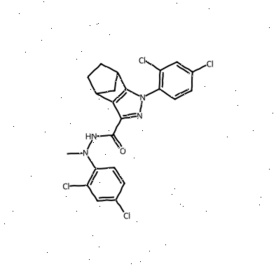 CN(NC(=O)c1nn(-c2ccc(Cl)cc2Cl)c2c1C1CCC2C1)c1ccc(Cl)cc1Cl